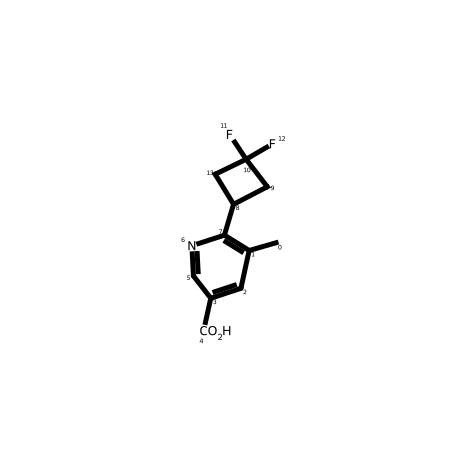 Cc1cc(C(=O)O)cnc1C1CC(F)(F)C1